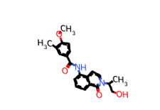 COc1ccc(C(=O)Nc2cccc3c(=O)n(C(C)CO)ccc23)cc1C